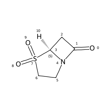 O=C1C[C@H]2N1CCS2(=O)=O